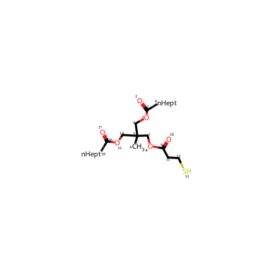 CCCCCCCC(=O)OCC(C)(COC(=O)CCS)COC(=O)CCCCCCC